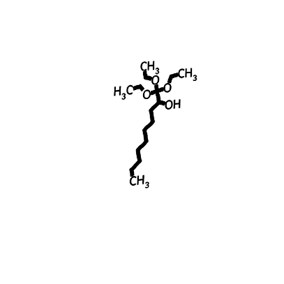 CCCCCCCCC(O)C(OCC)(OCC)OCC